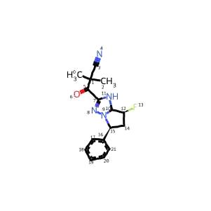 CC(C)(C#N)C(=O)C1=NN2C(N1)[C@@H](F)C[C@H]2c1ccccc1